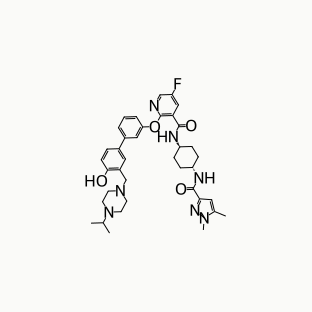 Cc1cc(C(=O)N[C@H]2CC[C@H](NC(=O)c3cc(F)cnc3Oc3cccc(-c4ccc(O)c(CN5CCN(C(C)C)CC5)c4)c3)CC2)nn1C